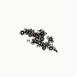 C=CCOc1ccc(C[C@H](NC(=O)CCN2C(=O)C=CC2=O)C(=O)N2CCC[C@H]2C(=O)N[C@@H](CCCNC(N)=O)C(=O)Nc2ccc(COC(=O)N(C)[C@H](C(=O)N[C@H](C(=O)N(C)[C@@H]([C@@H](C)CC)[C@@H](CC(=O)N3CCC[C@H]3[C@H](OC)[C@@H](C)C(=O)N[C@H](C)[C@@H](O)c3ccccc3)OC)C(C)C)C(C)C)cc2)cc1